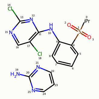 CC(C)S(=O)(=O)c1ccccc1Nc1nc(Cl)ncc1Cl.Nc1ncccn1